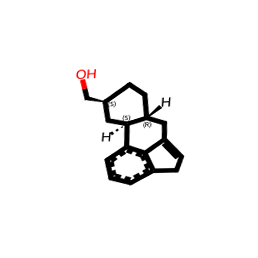 OC[C@H]1CC[C@@H]2CC3=CCc4cccc(c43)[C@H]2C1